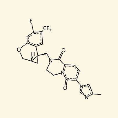 Cc1cn(-c2ccc3n(c2=O)CCN(C[C@@]24C[C@@H]2COc2cc(F)c(C(F)(F)F)cc24)C3=O)cn1